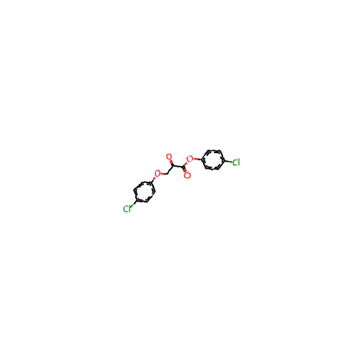 O=C(COc1ccc(Cl)cc1)C(=O)Oc1ccc(Cl)cc1